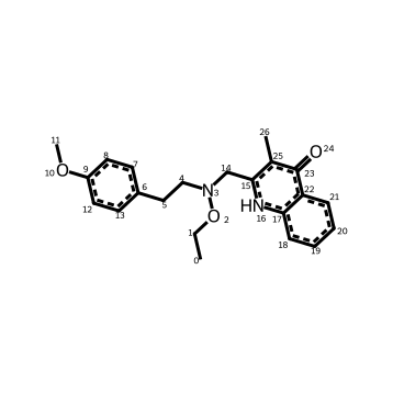 CCON(CCc1ccc(OC)cc1)Cc1[nH]c2ccccc2c(=O)c1C